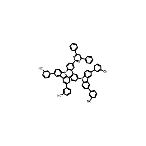 N#Cc1cccc(-c2ccc3c(c2)c2cc(-c4cccc(C#N)c4)ccc2n3-c2ccc(C(F)(F)F)c(-c3cc(-c4nc(-c5ccccc5)nc(-c5ccccc5)n4)ccc3-n3c4ccc(-c5cccc(C#N)c5)cc4c4cc(-c5cccc(C#N)c5)ccc43)c2)c1